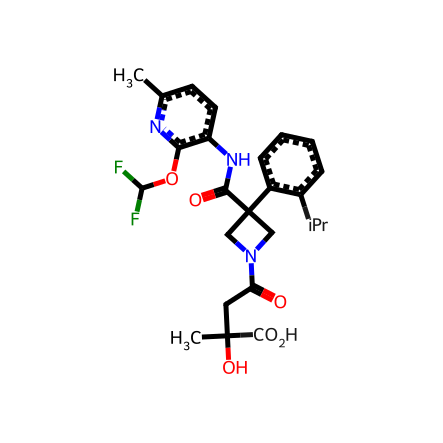 Cc1ccc(NC(=O)C2(c3ccccc3C(C)C)CN(C(=O)CC(C)(O)C(=O)O)C2)c(OC(F)F)n1